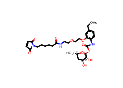 CC(=O)OCc1ccc(NC(=O)O[C@@H]2O[C@H](C(=O)O)C[C@H](O)[C@H]2O)c(OCCOCCNC(=O)CCCCCN2C(=O)C=CC2=O)c1